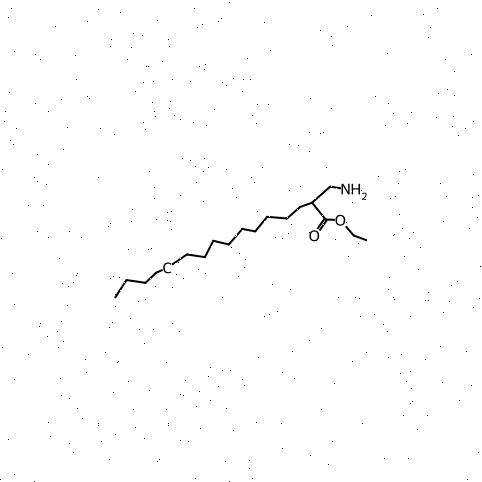 CCCCCCCCCCCCCCC(CN)C(=O)OCC